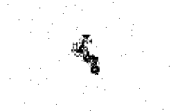 CNC(=O)c1cc(C(=O)NC2CC2)cn(Cc2cccc3c2cc(C)n3S(=O)(=O)c2ccc(C)cc2)c1=O